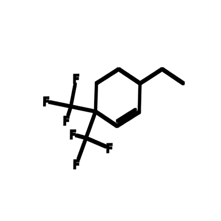 CCC1C=CC(C(F)(F)F)(C(F)(F)F)CC1